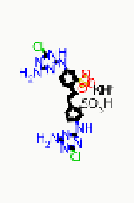 Nc1nc(Cl)nc(Nc2ccc(C=Cc3ccc(Nc4nc(N)nc(Cl)n4)cc3S(=O)(=O)O)c(S(=O)(=O)[O-])c2)n1.[H+].[KH]